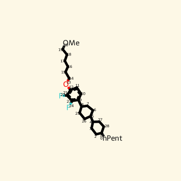 CCCCCC1CCC(C2CCC(c3ccc(OCCCCCCOC)c(F)c3F)CC2)CC1